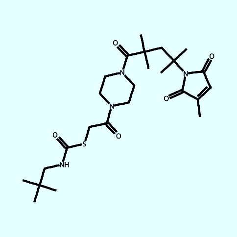 CC1=CC(=O)N(C(C)(C)CC(C)(C)C(=O)N2CCN(C(=O)CSC(=O)NCC(C)(C)C)CC2)C1=O